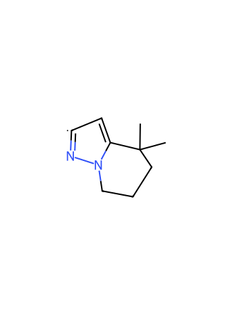 CC1(C)CCCn2n[c]cc21